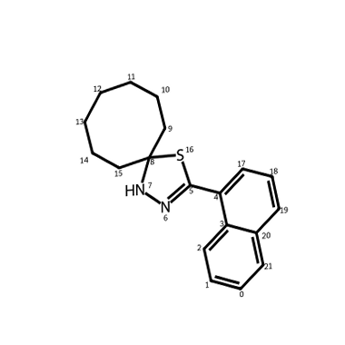 c1ccc2c(C3=NNC4(CCCCCCC4)S3)cccc2c1